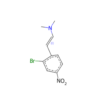 CN(C)/C=C/c1ccc([N+](=O)[O-])cc1Br